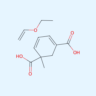 C=COCC.CC1(C(=O)O)C=CC=C(C(=O)O)C1